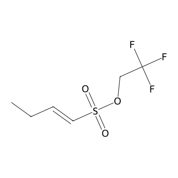 CC/C=C/S(=O)(=O)OCC(F)(F)F